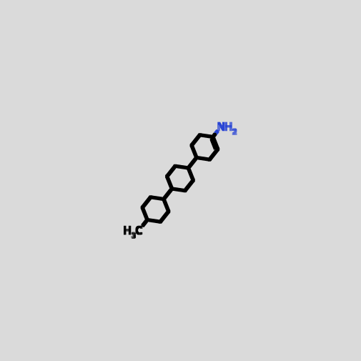 CC1CCC(C2CCC(C3CC=C(N)CC3)CC2)CC1